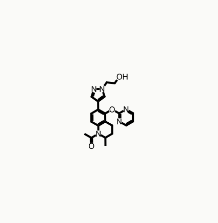 CC(=O)N1c2ccc(-c3cnn(CCO)c3)c(Oc3ncccn3)c2CCC1C